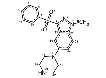 Cn1nc(S(=O)(=O)c2ccccc2)c2cc(N3CCNCC3)ccc21